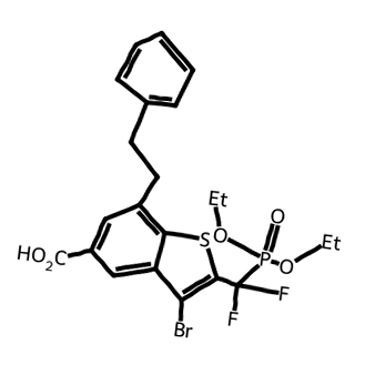 CCOP(=O)(OCC)C(F)(F)c1sc2c(CCc3ccccc3)cc(C(=O)O)cc2c1Br